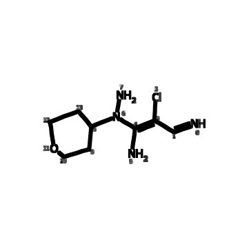 N=C/C(Cl)=C(\N)N(N)C1CCOCC1